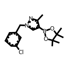 Cc1nn(Cc2cccc(Cl)c2)cc1B1OC(C)(C)C(C)(C)O1